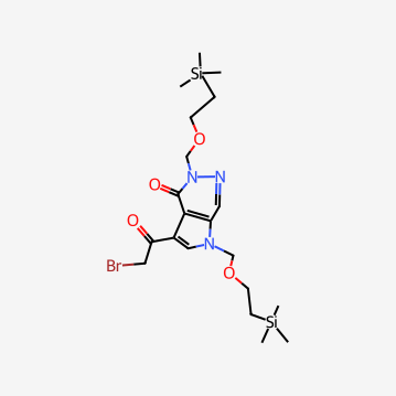 C[Si](C)(C)CCOCn1ncc2c(c(C(=O)CBr)cn2COCC[Si](C)(C)C)c1=O